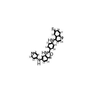 O=C(Nc1cc(Nc2ccncc2)ccc1F)c1ccc(Nc2ccnc3ccc(F)cc23)cc1